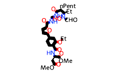 CCCCC[C@@H](C(=O)NCNC(=O)c1ccc(-c2ccc(C(=O)N[C@H](CC(=O)OC)C(=O)OC)c(OCC)c2)o1)[C@@H](CC)N(O)C=O